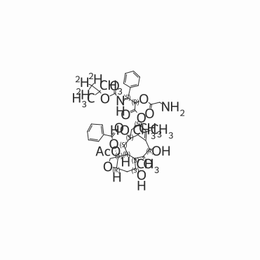 [2H]C([2H])([2H])C(C)(C)OC(=O)N[C@@H](c1ccccc1)[C@@H](OC(=O)CN)C(=O)O[C@H]1C[C@@]2(O)[C@@H](OC(=O)c3ccccc3)[C@@H]3[C@]4(OC(C)=O)CO[C@@H]4C[C@H](O)[C@@]3(C)C(=O)[C@H](O)C(=C1C)C2(C)C